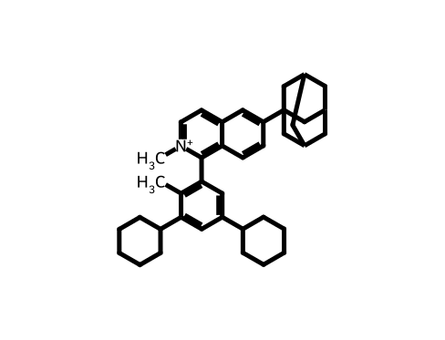 Cc1c(-c2c3ccc(C45CC6CC(CC(C6)C4)C5)cc3cc[n+]2C)cc(C2CCCCC2)cc1C1CCCCC1